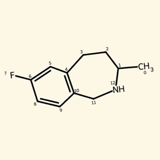 CC1CCc2cc(F)ccc2CN1